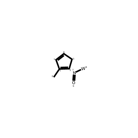 CC1=CCC=C1.O=[N][W]